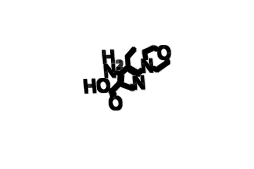 CCc1c(N2CCOCC2)ncc(C(=O)O)c1N